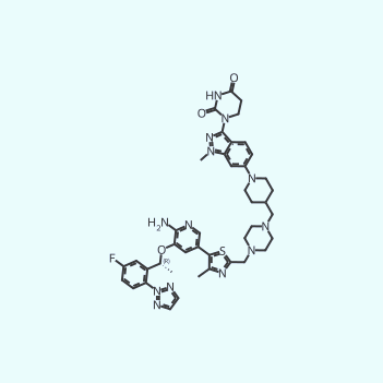 Cc1nc(CN2CCN(CC3CCN(c4ccc5c(N6CCC(=O)NC6=O)nn(C)c5c4)CC3)CC2)sc1-c1cnc(N)c(O[C@H](C)c2cc(F)ccc2-n2nccn2)c1